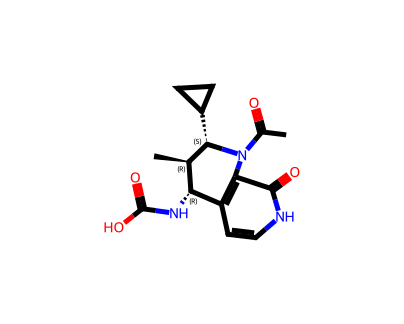 CC(=O)N1c2c(cc[nH]c2=O)[C@H](NC(=O)O)[C@@H](C)[C@@H]1C1CC1